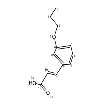 CCCOc1cccc(C=CC(=O)O)c1